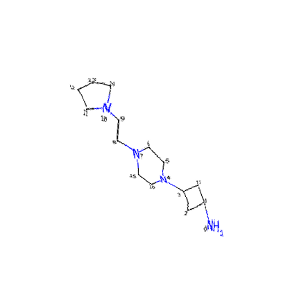 NC1CC(N2CCN(CCN3CCCC3)CC2)C1